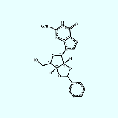 CC(=O)Nc1nc2c(ncn2[C@@H]2O[C@H](CO)[C@H]3OC(c4ccccc4)O[C@H]32)c(=O)[nH]1